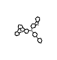 c1ccc(-c2ccc(N(c3ccc4c(c3)sc3ccccc34)c3ccc4c(c3)c3cccc5c6ccccc6n4c53)cc2)cc1